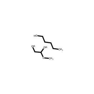 CCCCCO.COC(O)CO